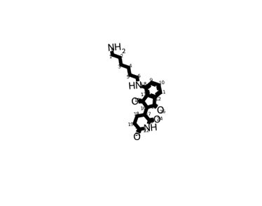 NCCCCCCNc1cccc2c1C(=O)C(C1CCC(=O)NC1=O)C2=O